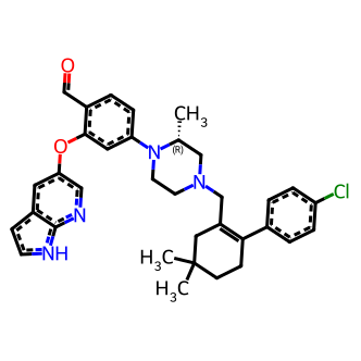 C[C@@H]1CN(CC2=C(c3ccc(Cl)cc3)CCC(C)(C)C2)CCN1c1ccc(C=O)c(Oc2cnc3[nH]ccc3c2)c1